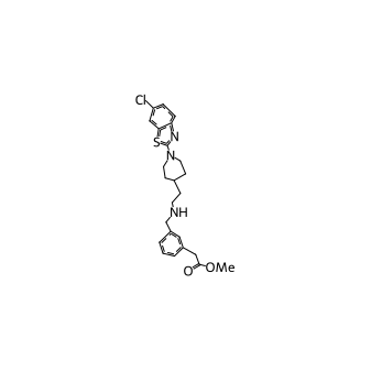 COC(=O)Cc1cccc(CNCCC2CCN(c3nc4ccc(Cl)cc4s3)CC2)c1